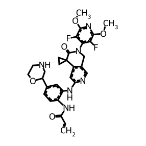 C=CC(=O)Nc1ccc(C2CNCCO2)cc1Nc1cc2c(cn1)CN(c1c(F)c(OC)nc(OC)c1F)C(=O)C21CC1